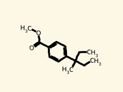 CCC(C)(CC)c1ccc(C(=O)OC)cc1